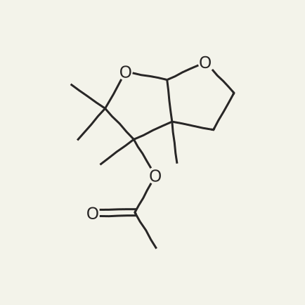 CC(=O)OC1(C)C(C)(C)OC2OCCC21C